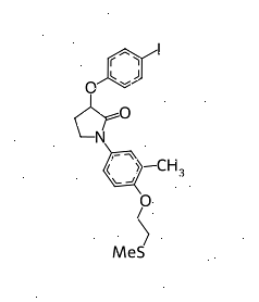 CSCCOc1ccc(N2CCC(Oc3ccc(I)cc3)C2=O)cc1C